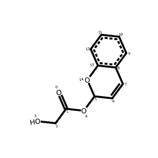 O=C(CO)OC1C=Cc2ccccc2O1